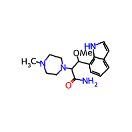 COC(c1cccc2cc[nH]c12)C(C(N)=O)N1CCN(C)CC1